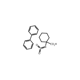 O=C(O)C1(N=S(=O)=O)CCCCC1.c1ccc(-c2ccccc2)cc1